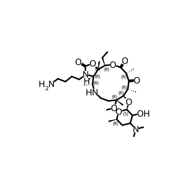 CC[C@H]1OC(=O)[C@H](C)C(=O)[C@H](C)[C@@H](O[C@@H]2O[C@H](C)CC(N(C)C)C2O)[C@](C)(OC)CCN[C@H](C)[C@H]2N(CCCCN)C(=O)O[C@]12C